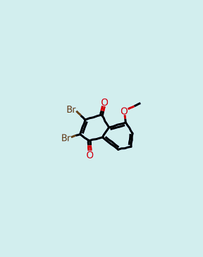 COc1cccc2c1C(=O)C(Br)=C(Br)C2=O